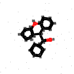 O=C(c1ccccc1)C1c2ccccc2Oc2ccccc21